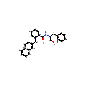 O=C(NC(CO)Cc1ccccc1)c1ccccc1Cc1ccc2ccccc2c1